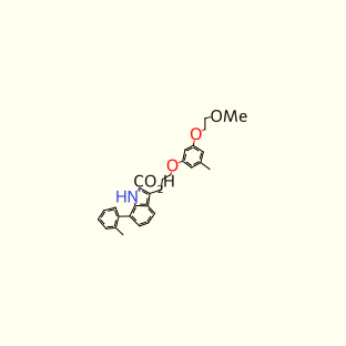 COCCOc1cc(C)cc(OCCCc2c(C(=O)O)[nH]c3c(-c4ccccc4C)cccc23)c1